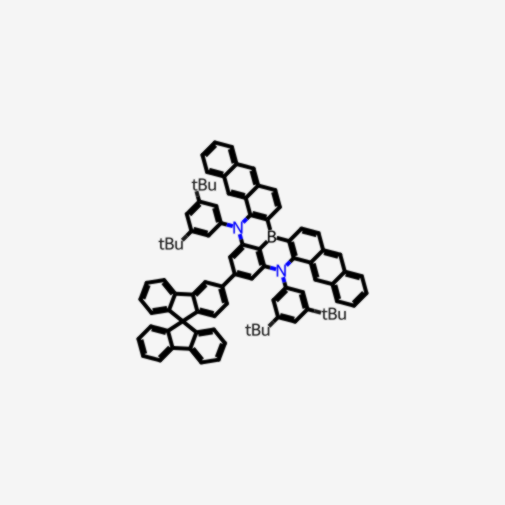 CC(C)(C)c1cc(N2c3cc(-c4ccc5c(c4)-c4ccccc4C54c5ccccc5-c5ccccc54)cc4c3B(c3ccc5cc6ccccc6cc5c32)c2ccc3cc5ccccc5cc3c2N4c2cc(C(C)(C)C)cc(C(C)(C)C)c2)cc(C(C)(C)C)c1